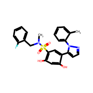 Cc1ccccc1-n1nccc1-c1cc(S(=O)(=O)N(C)Cc2ccccc2F)c(O)cc1O